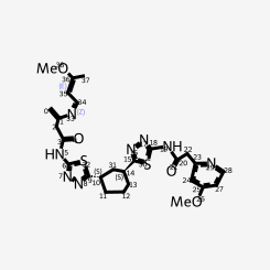 C=C(CC(=O)Nc1nnc([C@H]2CCC[C@H](c3nnc(NC(=O)Cc4cc(OC)ccn4)s3)C2)s1)/N=C\C=C(/C)OC